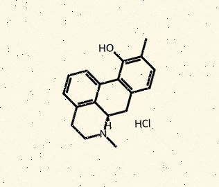 Cc1ccc2c(c1O)-c1cccc3c1[C@H](C2)N(C)CC3.Cl